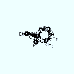 CCc1ccc(NC(=O)N[C@@H](Cc2cc(F)cc(F)c2)C(=O)N[C@H]2COC(=O)[C@@H]3C[C@H](C)CN3C(=O)[C@H](C)NC(=O)[C@@H]3CCCCN3C(=O)[C@@H]3CCCN3C2=O)cc1